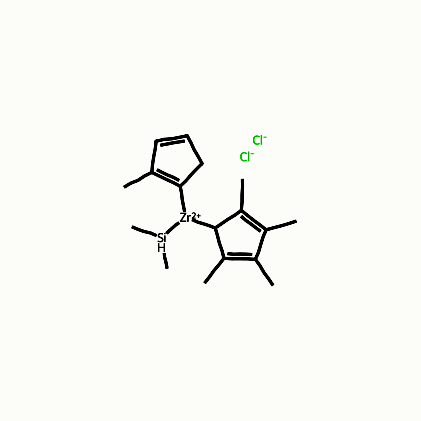 CC1=[C]([Zr+2]([CH]2C(C)=C(C)C(C)=C2C)[SiH](C)C)CC=C1.[Cl-].[Cl-]